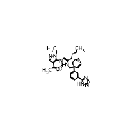 CCCCc1cn(-c2c(C(C)=O)cnn2CC)c(=O)n1CC1(c2cccc(-c3nnn[nH]3)c2)C=CN=CC1